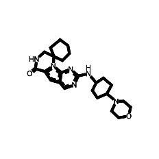 O=C1NCC2(CCCCC2)n2c1cc1cnc(NC3CCC(N4CCOCC4)CC3)nc12